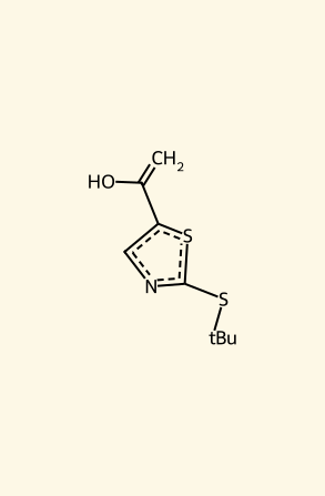 C=C(O)c1cnc(SC(C)(C)C)s1